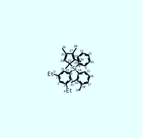 CCc1cc(CC)cc([Si](c2ccccc2)(c2cccc(C)c2C)C2(C)[C]=C(C)C(C)=C2C)c1